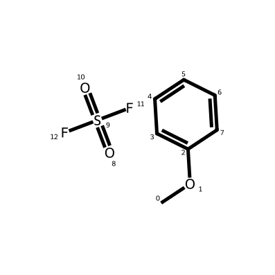 COc1ccccc1.O=S(=O)(F)F